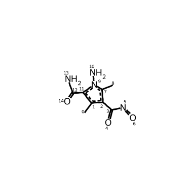 Cc1c(C(=O)N=O)c(C)n(N)c1C(N)=O